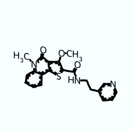 COc1c(C(=O)NCCc2cccnc2)sc2c1c(=O)n(C)c1ccccc21